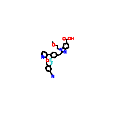 COCCn1c(Cc2ccc(-c3cccnc3OCc3ccc(C#N)cc3F)c(F)c2)nc2ccc(C(=O)O)cc21